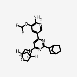 Nc1ncc(-c2cc(N3C[C@@H]4C[C@H]3CO4)nc(C3CC4CCC3C4)n2)cc1OC(F)F